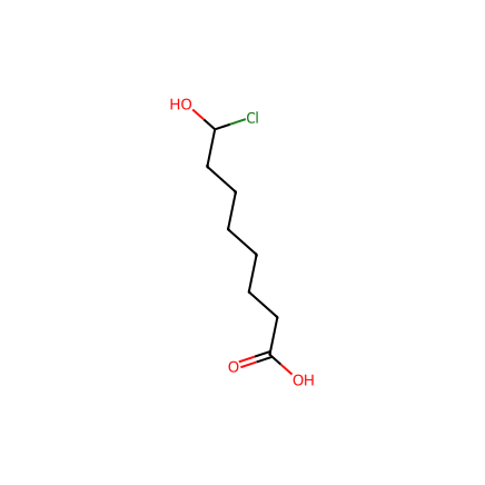 O=C(O)CCCCCCC(O)Cl